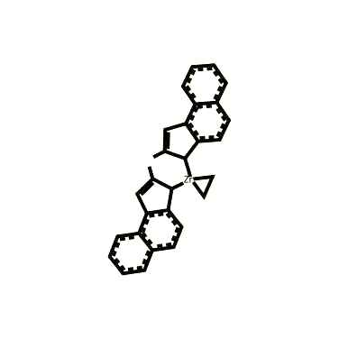 CC1=Cc2c(ccc3ccccc23)[CH]1[Zr]1([CH]2C(C)=Cc3c2ccc2ccccc32)[CH2][CH2]1